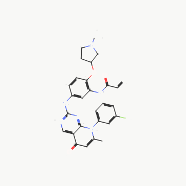 C=CC(=O)Nc1cc(Nc2ncc3c(=O)cc(C)n(-c4cccc(F)c4)c3n2)ccc1OC1CCN(C)C1